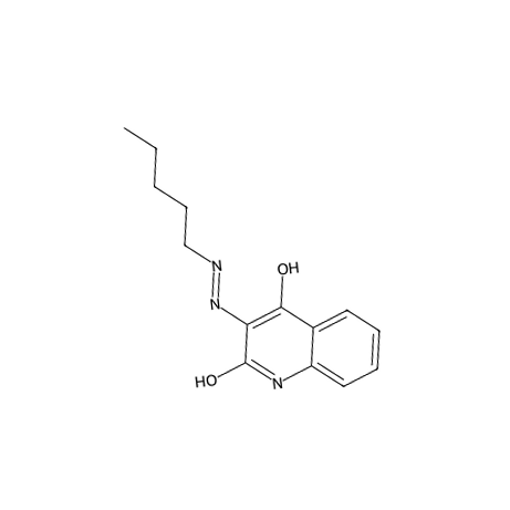 CCCCCN=Nc1c(O)nc2ccccc2c1O